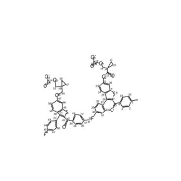 Cc1ccc(C(=O)c2sc3cc(OC(=O)C4(CO[N+](=O)[O-])CC4)ccc3c2-c2ccc(F)cc2)cc1.Cc1ccc(C(=O)c2sc3cc(OCC4(CO[N+](=O)[O-])CC4)ccc3c2-c2ccc(F)cc2)cc1